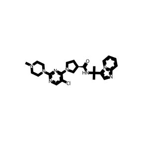 CN1CCN(c2ncc(Cl)c(N3CC[C@@H](C(=O)NC(C)(C)c4cnc5ccccn45)C3)n2)CC1